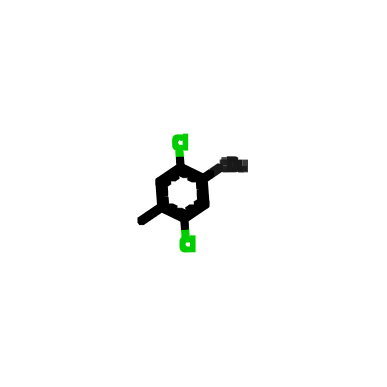 Cc1cc(Cl)c(C(C)(C)C)cc1Cl